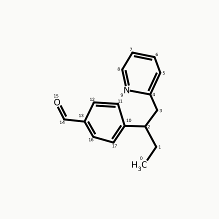 CCC(Cc1ccccn1)c1ccc(C=O)cc1